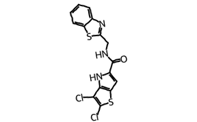 O=C(NCc1nc2ccccc2s1)c1cc2sc(Cl)c(Cl)c2[nH]1